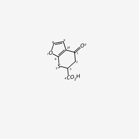 O=C1CC(C(=O)O)Sc2occc21